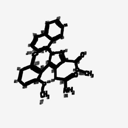 COC(=O)c1nn(-c2cccc3ccccc23)c(-c2c(OC)cccc2OC)c1CC(N)=O